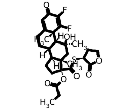 CCC(=O)O[C@]1(C(=O)S[C@H]2CCOC2=O)CC[C@H]2[C@@H]3CCC4=CC(=O)C(F)=C(F)[C@]4(C)[C@H]3[C@@](C)(O)C[C@@]21C